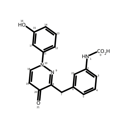 O=C(O)Nc1cccc(Cc2nn(-c3cccc(O)c3)ccc2=O)c1